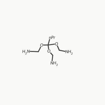 CCCC(OCN)(OCN)OCN